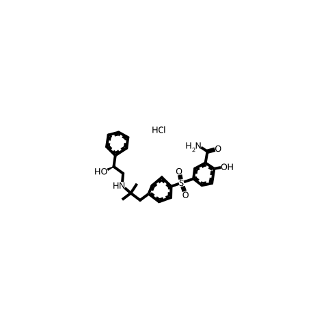 CC(C)(Cc1ccc(S(=O)(=O)c2ccc(O)c(C(N)=O)c2)cc1)NC[C@@H](O)c1ccccc1.Cl